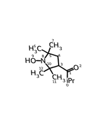 CC(C)C(=O)C1CC(C)(C)N(O)C1(C)C